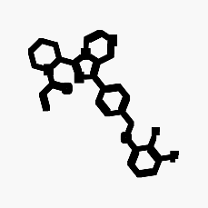 C=CC(=O)N1CCCCC1c1nc(-c2ccc(COc3cccc(F)c3F)cc2)c2cnccn12